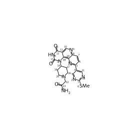 CSc1ncc(-c2ccc3ncc4c(=O)[nH]c(=O)n(C5CCN(CC(N)=O)CC5)c4c3n2)cn1